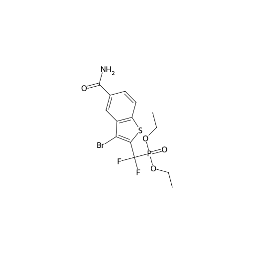 CCOP(=O)(OCC)C(F)(F)c1sc2ccc(C(N)=O)cc2c1Br